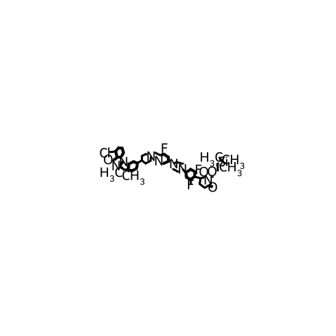 CC1(C)c2ccc(C3CCN(Cc4ncc(N5CCN(c6cc(F)c(C7CCC(=O)N(COCC[Si](C)(C)C)C7=O)c(F)c6)CC5)cc4F)CC3)cc2-n2c1nc(=O)c1c(Cl)cccc12